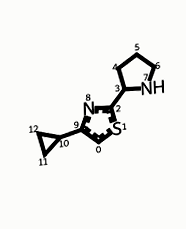 c1sc(C2CCCN2)nc1C1CC1